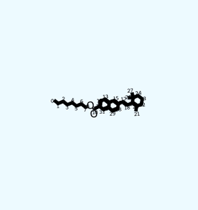 CCCCCCCCOC(=O)c1ccc2cc(C=CC3=C(C)CCCC3(C)C)ccc2c1